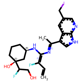 C=C/C(F)=C(\N=C(/C)c1c[nH]c2ncc(CI)cc12)N[C@@H]1CCC[C@@](O)(C(F)CO)C1